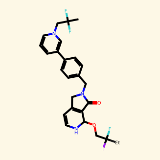 CCC(F)(I)COC1NC=CC2=C1C(=O)N(Cc1ccc(C3=CN(CC(C)(F)F)C=C=C3)cc1)C2